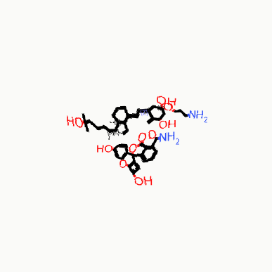 C=C1/C(=C\C=C2CCC[C@@]3(C)C2CC[C@@H]3[C@H](C)CCCC(C)(C)O)C[C@](O)(OCCCN)CC1O.NC(=O)c1cccc2c1C(=O)OC21c2ccc(O)cc2Oc2cc(O)ccc21